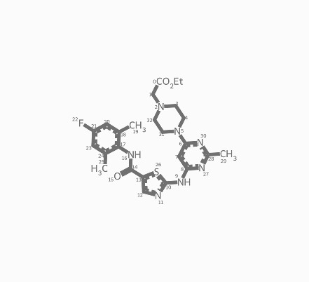 CCOC(=O)CN1CCN(c2cc(Nc3ncc(C(=O)Nc4c(C)cc(F)cc4C)s3)nc(C)n2)CC1